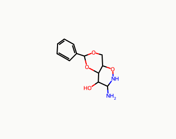 NC1NOC2COC(c3ccccc3)OC2C1O